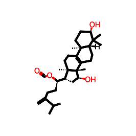 C=C(CC[C@@H](OC=O)[C@H]1C[C@H](O)[C@@]2(C)C3=C(CC[C@]12C)[C@@]1(C)CC[C@@H](O)C(C)(C)[C@@H]1CC3)C(C)C